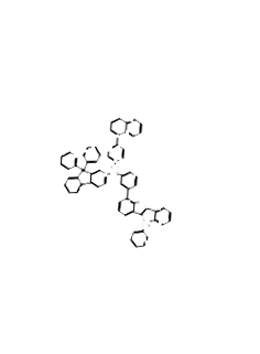 c1ccc(-n2c3ccccc3c3oc4c(-c5cccc(N(c6ccc(-c7cccc8ccccc78)cc6)c6ccc7c(c6)C(c6ccccc6)(c6ccccc6)c6ccccc6-7)c5)cccc4c32)cc1